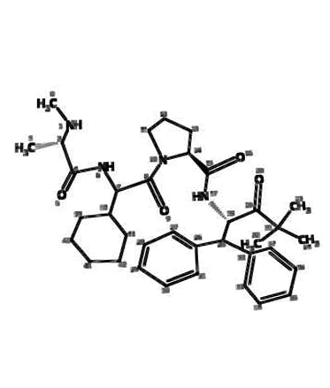 CN[C@@H](C)C(=O)NC(C(=O)N1CCC[C@H]1C(=O)N[C@H](C(=O)C(C)(C)C)C(c1ccccc1)c1ccccc1)C1CCCCC1